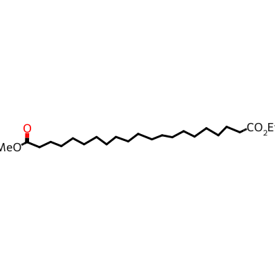 CCOC(=O)CCCCCCCCCCCCCCCCCCCC(=O)OC